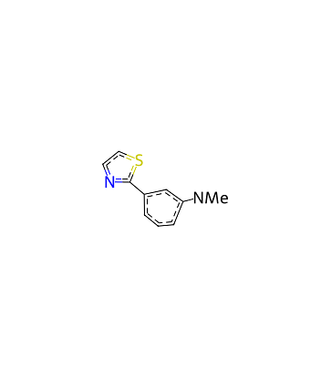 CNc1cccc(-c2nccs2)c1